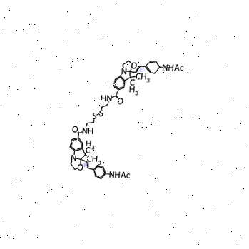 CC(=O)Nc1ccc(/C=C/C23OCCN2c2ccc(C(=O)NCCSSCCNC(=O)c4ccc5c(c4)C(C)(C)C4(/C=C/C6=CCC(NC(C)=O)C=C6)OCCN54)cc2C3(C)C)cc1